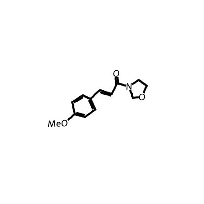 COc1ccc(C=CC(=O)N2CCOC2)cc1